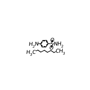 CCCCCCCC.Nc1ccc(S(N)(=O)=O)cc1